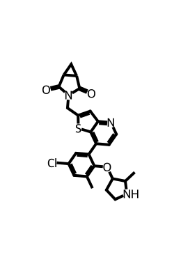 Cc1cc(Cl)cc(-c2ccnc3cc(CN4C(=O)C5CC5C4=O)sc23)c1OC1CCNC1C